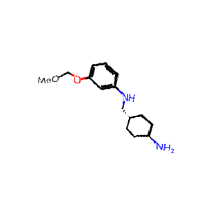 COCOc1cccc(NC[C@H]2CC[C@H](N)CC2)c1